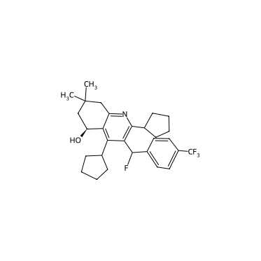 CC1(C)Cc2nc(C3CCCC3)c(C(F)c3ccc(C(F)(F)F)cc3)c(C3CCCC3)c2[C@@H](O)C1